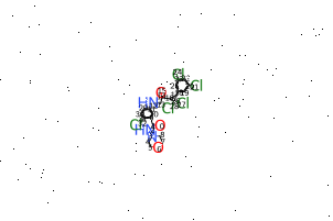 O=C(NN1CCOCC1)c1cc(NCC(=O)C2C(c3cc(Cl)cc(Cl)c3)C2(Cl)Cl)ccc1Cl